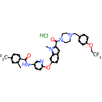 Cc1cc(C(F)(F)F)ccc1C(=O)Nc1ccc(Oc2ccc3cc(C(=O)N4CCN(Cc5ccc(OCC(F)(F)F)cc5)CC4)n(C)c3c2)nc1.Cl